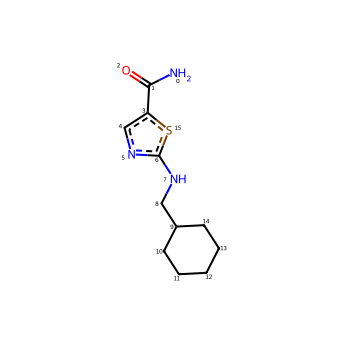 NC(=O)c1cnc(NCC2CCCCC2)s1